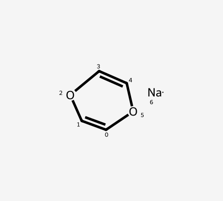 C1=COC=CO1.[Na]